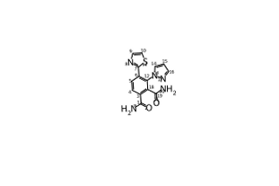 NC(=O)c1ccc(-c2nccs2)c(-n2cccn2)c1C(N)=O